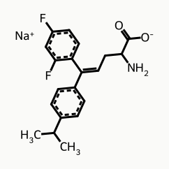 CC(C)c1ccc(C(=CCC(N)C(=O)[O-])c2ccc(F)cc2F)cc1.[Na+]